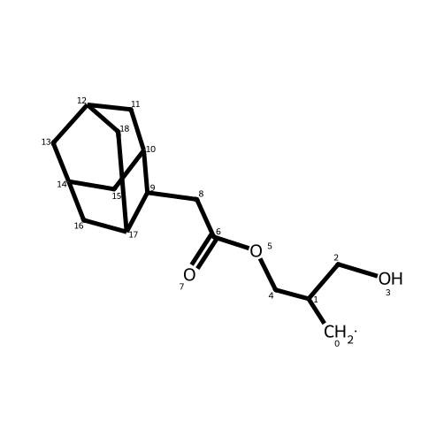 [CH2]C(CO)COC(=O)CC1C2CC3CC(C2)CC1C3